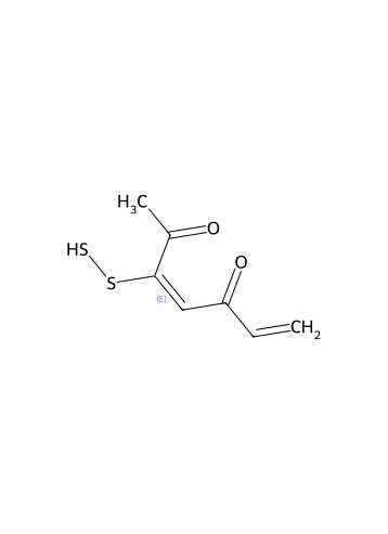 C=CC(=O)/C=C(/SS)C(C)=O